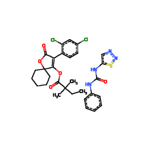 CCC(C)(C)C(=O)OC1=C(c2ccc(Cl)cc2Cl)C(=O)OC12CCCCC2.O=C(Nc1ccccc1)Nc1cnns1